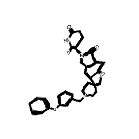 O=C1CCC(N2Cc3cc4c(cc3C2=O)OCC42CCN(Cc3cccc(Oc4ccccc4)c3)CC2)C(=O)N1